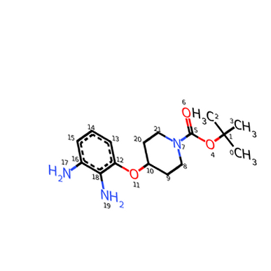 CC(C)(C)OC(=O)N1CCC(Oc2cccc(N)c2N)CC1